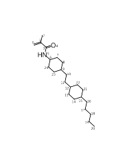 C=C(C)C(=O)NC1CCC(CCC2CCC(CCCCC)CC2)CC1